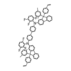 C=Cc1ccc(C2(c3cc(C)ccc3C)c3ccccc3-c3ccc(N(c4ccc(-c5ccc(N(c6ccc7c(c6)C(c6ccc(C=C)cc6)(c6cc(C)ccc6C)c6ccccc6-7)c6c(F)ccc(F)c6F)cc5)cc4)c4c(F)ccc(F)c4F)cc32)cc1